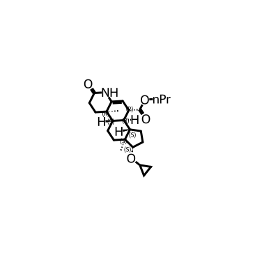 CCCOC(=O)[C@H]1C=C2NC(=O)CC[C@]2(C)[C@H]2CC[C@]3(C)[C@@H](OC4CC4)CC[C@H]3[C@H]12